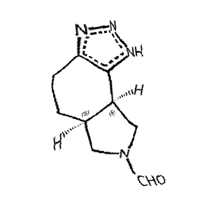 O=CN1C[C@H]2CCc3nn[nH]c3[C@H]2C1